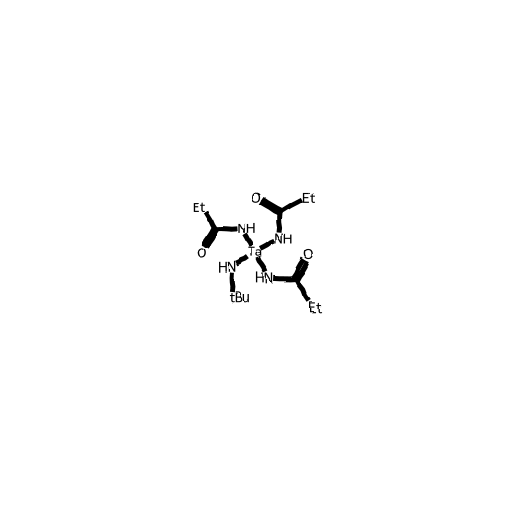 CCC(=O)[NH][Ta]([NH]C(=O)CC)([NH]C(=O)CC)[NH]C(C)(C)C